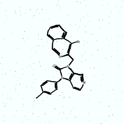 Cc1ccc(-n2c(=O)n(Cc3ncc4ccccc4c3Br)c3cnccc32)cc1